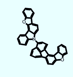 c1ccc2c(c1)oc1c2ccc2c1c1ccccc1n2-c1ccc2c3c(cccc13)-c1ccc3oc4ccccc4c3c1-2